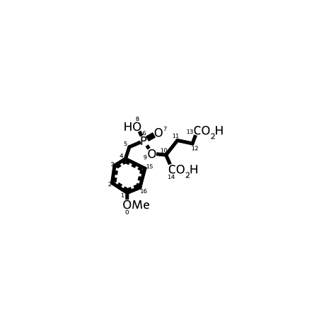 COc1ccc(CP(=O)(O)OC(CCC(=O)O)C(=O)O)cc1